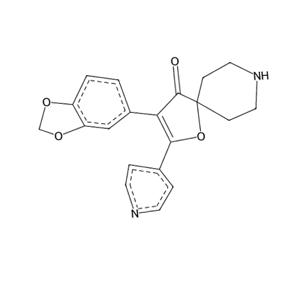 O=C1C(c2ccc3c(c2)OCO3)=C(c2ccncc2)OC12CCNCC2